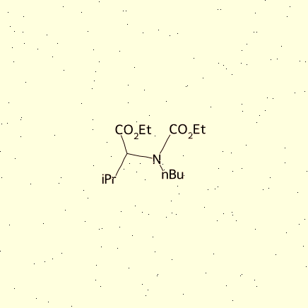 CCCCN(C(=O)OCC)C(C(=O)OCC)C(C)C